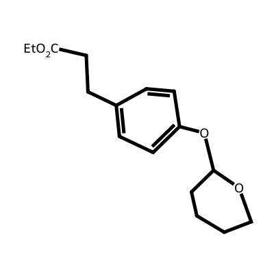 CCOC(=O)CCc1ccc(OC2CCCCO2)cc1